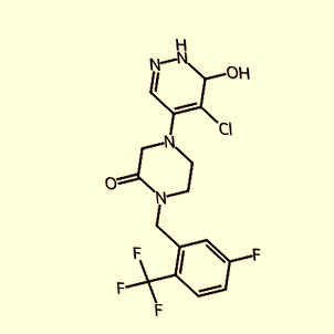 O=C1CN(C2=C(Cl)C(O)NN=C2)CCN1Cc1cc(F)ccc1C(F)(F)F